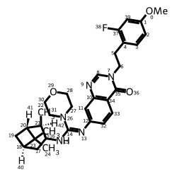 COc1ccc(CCn2cnc3cc(N=C(NC4C[C@H]5C[C@H]([C@H]4C)C5(C)C)N4CCOCC4)ccc3c2=O)c(F)c1